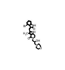 Cc1c(C=C2C(=O)Nc3cccc(Br)c32)[nH]c2c1C(=O)N(CC(O)CN1CCOCC1)CC2